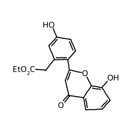 CCOC(=O)Cc1cc(O)ccc1-c1cc(=O)c2cccc(O)c2o1